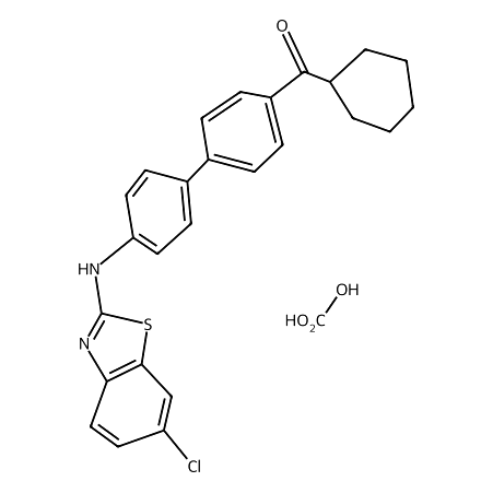 O=C(O)O.O=C(c1ccc(-c2ccc(Nc3nc4ccc(Cl)cc4s3)cc2)cc1)C1CCCCC1